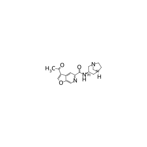 CC(=O)c1coc2cnc(C(=O)N[C@@H]3C[C@@H]4CCN(C4)C3)cc12